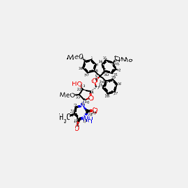 COc1ccc(C(OC[C@@H]2O[C@H](n3cc(C)c(=O)[nH]c3=O)C(OC)C2O)(c2ccccc2)c2ccc(OC)cc2)cc1